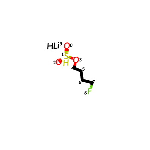 O=[SH](=O)OCCCCF.[LiH]